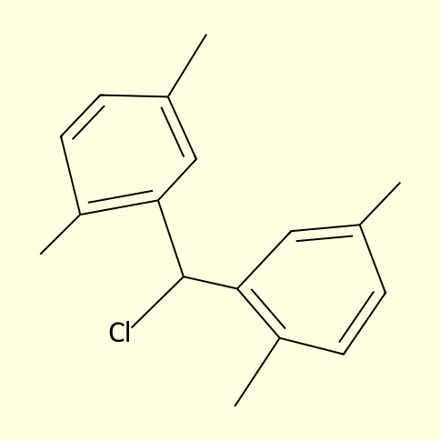 Cc1ccc(C)c(C(Cl)c2cc(C)ccc2C)c1